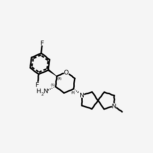 CN1CCC2(CCN([C@H]3CO[C@H](c4cc(F)ccc4F)[C@@H](N)C3)C2)C1